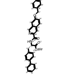 COC(=O)[C@H](Cc1ccc(-c2ccccc2)cc1)NC(=O)c1cc2ccc(OCc3ccccc3)cc2cn1